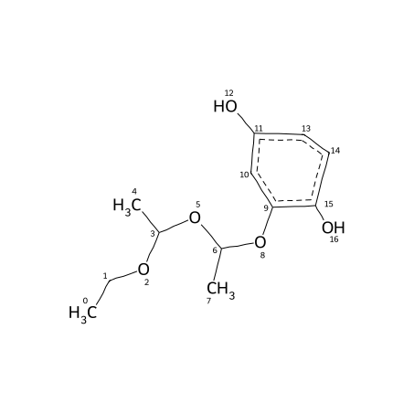 CCOC(C)OC(C)Oc1cc(O)ccc1O